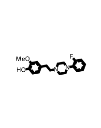 COc1cc(CCN2CCN(c3ccccc3F)CC2)ccc1O